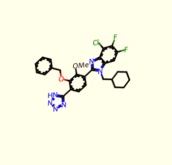 COc1c(-c2nc3c(Cl)c(F)c(F)cc3n2CC2CCCCC2)ccc(-c2nnn[nH]2)c1OCc1ccccc1